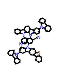 N#Cc1cc(-n2c3ccc(-n4c5ccccc5c5ccccc54)cc3c3ccc4c5ccccc5n(-c5ccccc5)c4c32)c(C#N)cc1-n1c2c#cc(-n3c4ccccc4c4ccccc43)cc2c2cc3c(cc21)sc1ccccc13